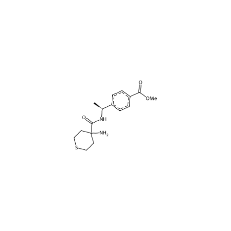 COC(=O)c1ccc([C@H](C)NC(=O)C2(N)CCSCC2)cc1